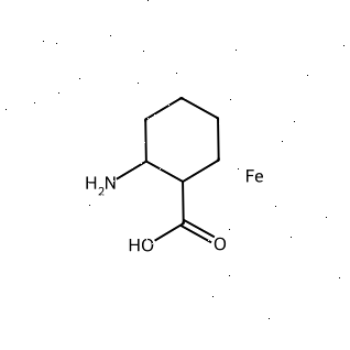 NC1CCCCC1C(=O)O.[Fe]